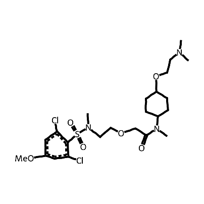 COc1cc(Cl)c(S(=O)(=O)N(C)CCOCC(=O)N(C)C2CCC(OCCN(C)C)CC2)c(Cl)c1